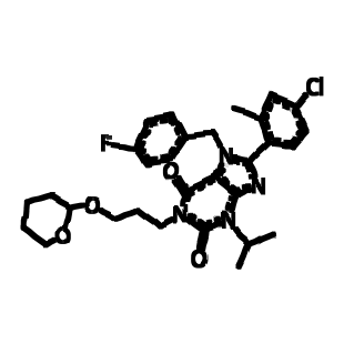 Cc1cc(Cl)ccc1-c1nc2c(c(=O)n(CCCOC3CCCCO3)c(=O)n2C(C)C)n1Cc1ccc(F)cc1